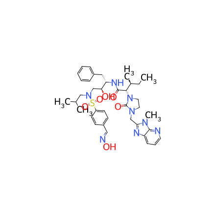 CC[C@H](C)[C@@H](C(=O)N[C@@H](Cc1ccccc1)[C@@H](O)CN(CC(C)C)S(=O)(=O)c1ccc(C=NO)cc1)N1CCN(Cc2nc3cccnc3n2C)C1=O